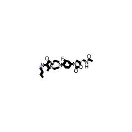 CC=C/C=N\c1c(C)n2n(c1=O)CCN(c1ccc(N3C[C@H](CNC(C)=O)OC3=O)cc1F)CC2